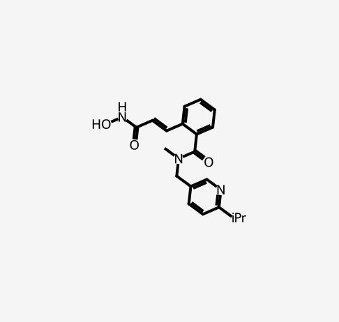 CC(C)c1ccc(CN(C)C(=O)c2ccccc2C=CC(=O)NO)cn1